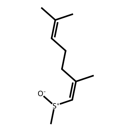 CC(C)=CCC/C(C)=C\[S+](C)[O-]